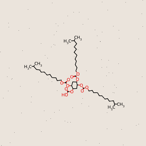 CC(C)CCCCCCCCCCOC(=O)OC1CC(OC(=O)OCCCCCCCCCCC(C)C)C(OC(=O)OCCCCCCCCCCC(C)C)CC1OC(=O)O